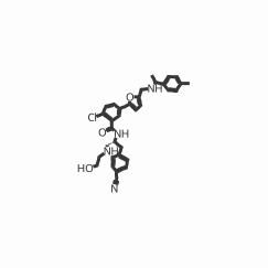 Cc1ccc(C(C)NCc2ccc(-c3ccc(Cl)c(C(=O)N[C@@H](CNCCO)Cc4ccc(C#N)cc4)c3)o2)cc1